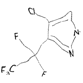 FC(F)(F)C(F)(F)C1=N[N]C=C1Cl